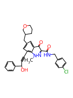 Cn1nc(C(=O)NCc2ccc(Cl)cc2)c(=O)c2cc(CC3CCCOC3)cc(C#CC(O)c3ccccc3)c21